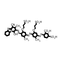 Cc1cc(N=Nc2c(C)c(C#N)c3nc4ccccc4n3c2O)c(OCCCS(=O)(=O)O)cc1N=Nc1cc(C)c(N=Nc2ccc(S(=O)(=O)O)cc2C(=O)O)cc1OCCCS(=O)(=O)O